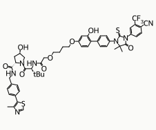 Cc1ncsc1-c1ccc(CNC(=O)[C@@H]2C[C@@H](O)CN2C(=O)[C@@H](NC(=O)COCCCCOc2ccc(-c3ccc(N4C(=S)N(c5ccc(C#N)c(C(F)(F)F)c5)C(=O)C4(C)C)cc3)c(O)c2)C(C)(C)C)cc1